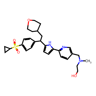 CN(CCO)Cc1ccc(-c2ccc(C(CC3CCOCC3)c3ccc(S(=O)(=O)C4CC4)cc3)[nH]2)nc1